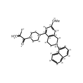 C=C(F)C(=O)N1CCN(c2nc(OC)nc3c2CCN(c2cccc4ccccc24)C3)CC1